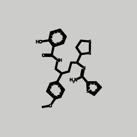 COc1ccc(C(CCC(N=C(N)c2cccs2)C2CCSS2)CNC(=O)c2ccccc2O)cc1